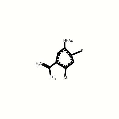 C=C(C)c1cc(NC(C)=O)c(F)cc1Cl